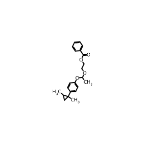 CC(OCCOC(=O)c1ccccc1)Oc1ccc(C2(C)CC2C)cc1